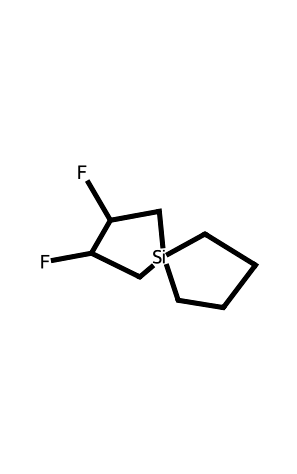 FC1C[Si]2(CCCC2)CC1F